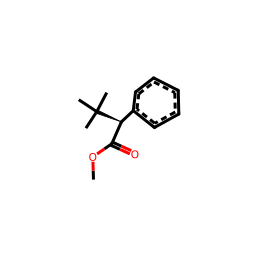 COC(=O)[C@H](c1ccccc1)C(C)(C)C